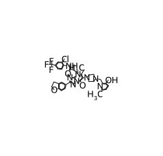 CCc1c(N2CCN(Cc3nc(C)ccc3O)CC2)c(=O)n2nc(-c3ccc4c(c3)CCO4)nc2n1CC(=O)Nc1ccc(C(F)(F)F)cc1Cl